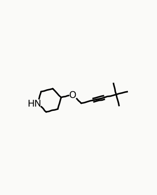 CC(C)(C)C#CCOC1CCNCC1